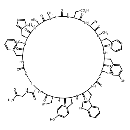 CCCC[C@H]1C(=O)N(C)CC(=O)N[C@@H](CC(=O)O)C(=O)N[C@@H](C(C)C)C(=O)N(C)[C@@H](Cc2ccccc2)C(=O)N[C@@H](Cc2ccc(O)cc2)C(=O)N(C)CC(=O)N[C@@H](Cc2c[nH]c3ccccc23)C(=O)N[C@@H](Cc2ccc(O)cc2)C(=O)N[C@@H](CC(C)C)C(=O)N[C@H](C(=O)NCC(N)=O)CSCC(=O)N[C@@H](Cc2ccccc2)C(=O)N(C)[C@@H](Cc2cnc[nH]2)C(=O)N1C